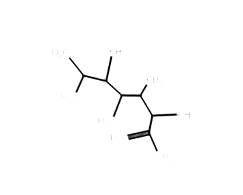 C=C(C)C(C)C(C)C(C)C(C)C(C)C